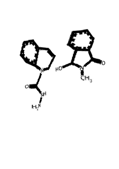 CN1C(=O)c2ccccc2C1O.NNC(=O)N1CC=Cc2ccccc21